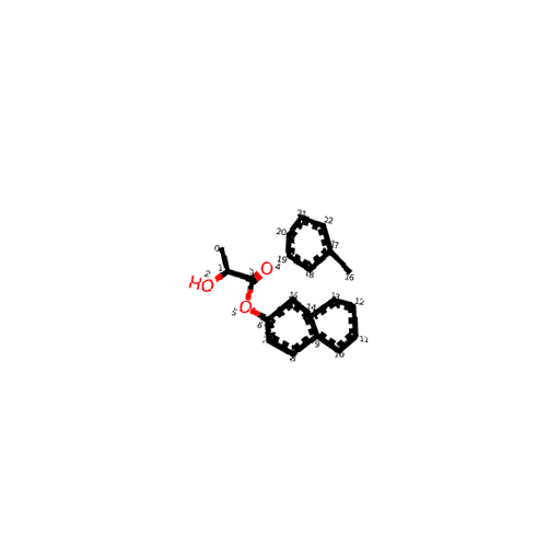 CC(O)C(=O)Oc1ccc2ccccc2c1.Cc1ccccc1